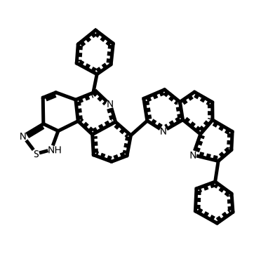 C1=Cc2c(-c3ccccc3)nc3c(-c4ccc5ccc6ccc(-c7ccccc7)nc6c5n4)cccc3c2C2NSN=C12